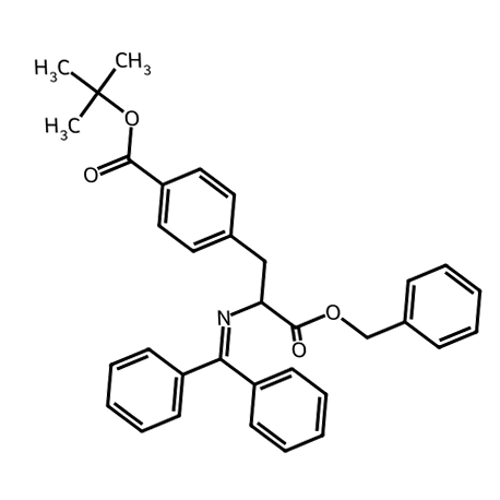 CC(C)(C)OC(=O)c1ccc(CC(N=C(c2ccccc2)c2ccccc2)C(=O)OCc2ccccc2)cc1